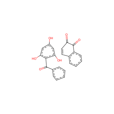 O=C(c1ccccc1)c1c(O)cc(O)cc1O.O=C1C=Cc2ccccc2C1=O